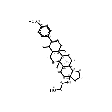 CC1C(c2ccc(C(=O)O)cc2)=CCC2(C)C1CCC1(C)C2CCC2C3CCCC3(NCCO)CC[C@]21C